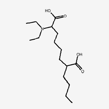 CCCCC(CCCCC(C(=O)O)N(CC)CC)C(=O)O